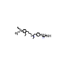 C=CCN(CCN(C)C)c1ccc(CCCS/C(=C\C)CC2=CCC(N/C=C\C=N)C=C2)c(CC)c1